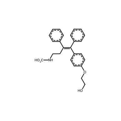 O=C(O)NCCC(=C(c1ccccc1)c1ccc(OCCO)cc1)c1ccccc1